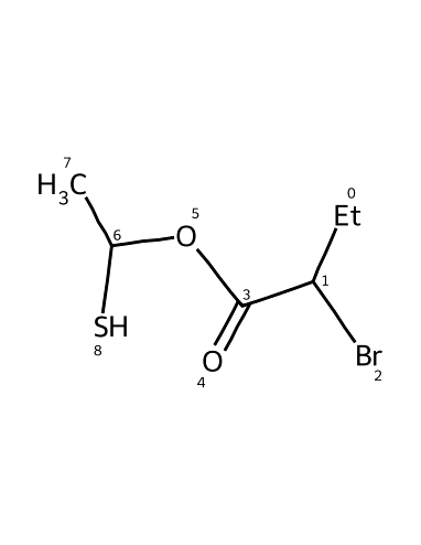 CCC(Br)C(=O)OC(C)S